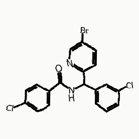 O=C(NC(c1cccc(Cl)c1)c1ccc(Br)cn1)c1ccc(Cl)cc1